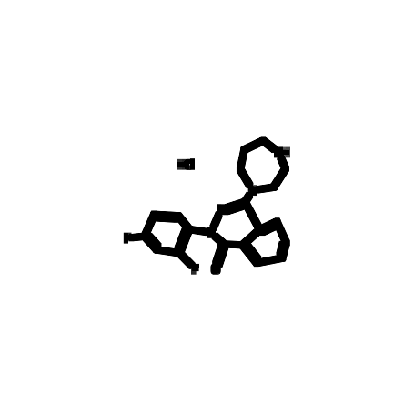 Cl.O=c1c2ccccc2c(N2CCCNCC2)nn1-c1ccc(F)cc1F